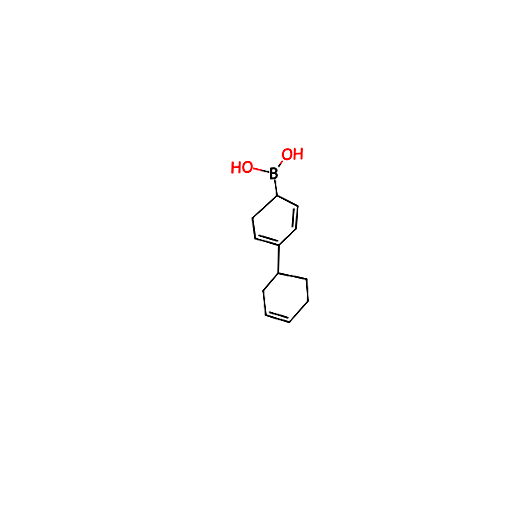 OB(O)C1C=CC(C2CC=CCC2)=CC1